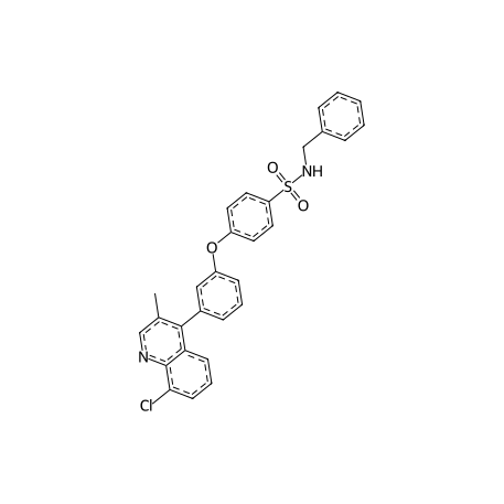 Cc1cnc2c(Cl)cccc2c1-c1cccc(Oc2ccc(S(=O)(=O)NCc3ccccc3)cc2)c1